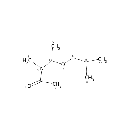 CC(=O)N(C)C(C)OCC(C)C